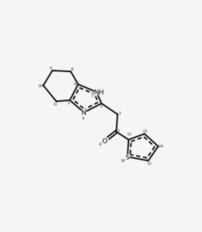 O=C(Cc1nc2c([nH]1)CCCC2)c1cccs1